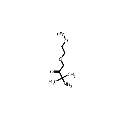 CCCOCCOCC(=O)C(C)(C)N